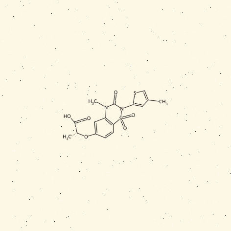 Cc1csc(N2C(=O)N(C)c3cc(O[C@H](C)C(=O)O)ccc3S2(=O)=O)c1